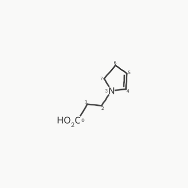 O=C(O)CCN1C=CCC1